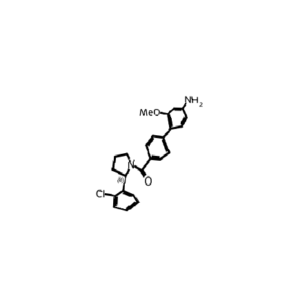 COc1cc(N)ccc1-c1ccc(C(=O)N2CCC[C@@H]2c2ccccc2Cl)cc1